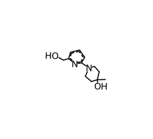 CC1(O)CCN(c2cccc(CO)n2)CC1